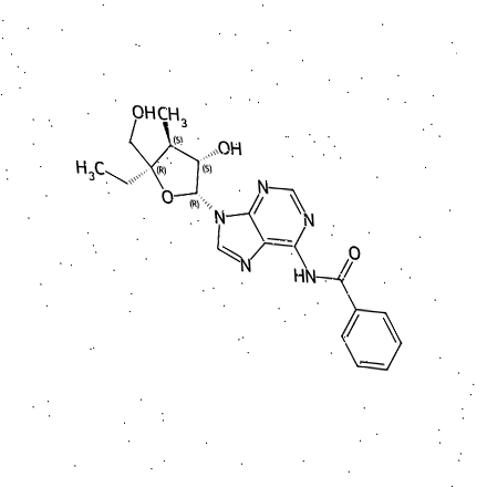 CC[C@@]1(CO)O[C@@H](n2cnc3c(NC(=O)c4ccccc4)ncnc32)[C@@H](O)[C@@H]1C